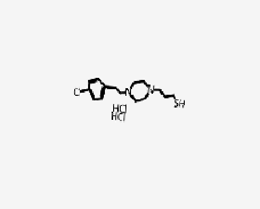 Cl.Cl.SCCCN1CCN(CCc2ccc(Cl)cc2)CC1